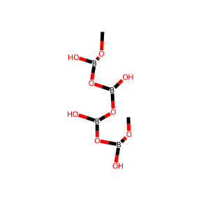 COB(O)OB(O)OB(O)OB(O)OC